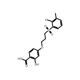 Cc1cccc(S(=O)(=O)CCCOc2ccc(C(=O)O)c(O)c2)c1Cl